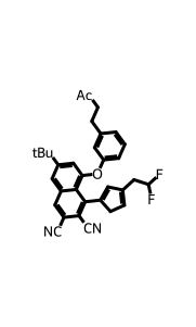 CC(=O)CCc1cccc(Oc2cc(C(C)(C)C)cc3cc(C#N)c(C#N)c(C4=CC(CC(F)F)=CC4)c23)c1